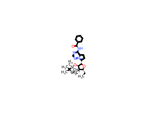 CC[C@H]1O[C@@H](c2ccc3c(NC(=O)c4ccccc4)ncnn23)[C@H](O[Si](C)(C)C(C)(C)C)[C@@H]1C